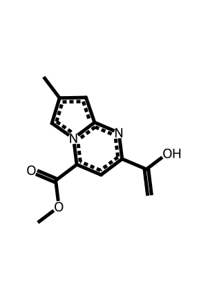 C=C(O)c1cc(C(=O)OC)n2cc(C)cc2n1